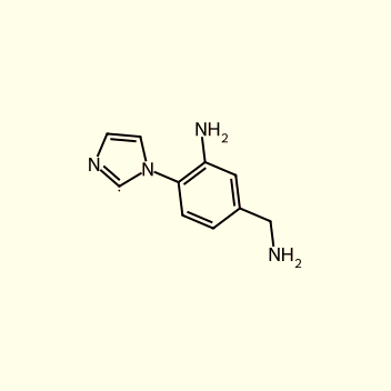 NCc1ccc(-n2[c]ncc2)c(N)c1